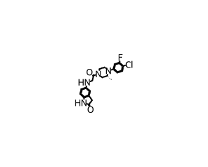 C[C@@H]1CN(C(=O)CNc2ccc3c(c2)CC(=O)N3)CCN1c1ccc(Cl)c(F)c1